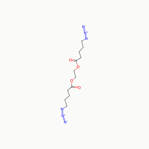 [N-]=[N+]=NCCCCC(=O)OCCOC(=O)CCCCN=[N+]=[N-]